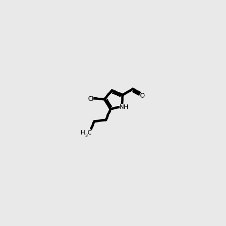 CCCc1[nH]c(C=O)cc1Cl